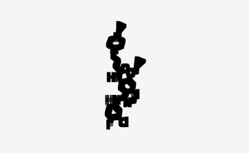 O=C(C=CCN1CCN(C2CC2)CC1)Nc1cc2c(Nc3ccc(F)c(Cl)c3)ncnc2cc1OCC1CC1